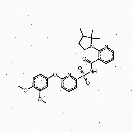 COc1ccc(Oc2cccc(S(=O)(=O)NC(=O)c3cccnc3N3CCC(C)C3(C)C)n2)cc1OC